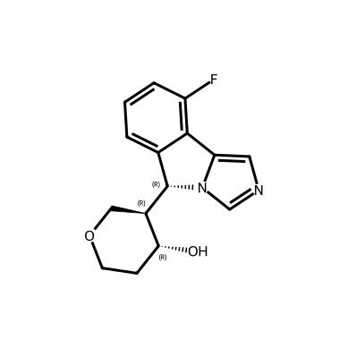 O[C@@H]1CCOC[C@H]1[C@@H]1c2cccc(F)c2-c2cncn21